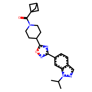 CC(C)n1ncc2ccc(-c3noc(C4CCN(C(=O)C56CC(C5)C6)CC4)n3)cc21